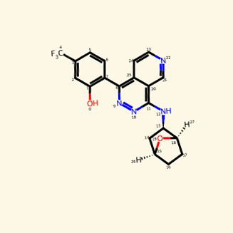 Oc1cc(C(F)(F)F)ccc1-c1nnc(N[C@@H]2C[C@@H]3CC[C@H]2O3)c2cnccc12